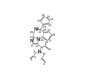 C=CCN(CC=C)C(C=C)c1cnc2n1-c1ccccc1C(c1ccccc1)=NC2